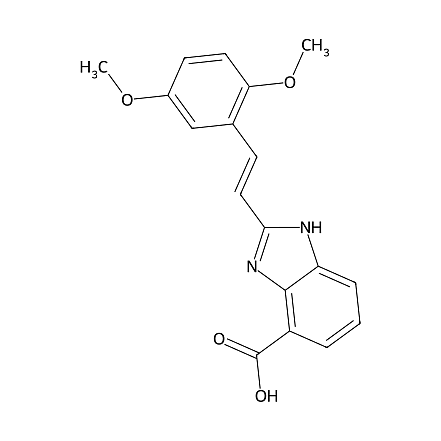 COc1ccc(OC)c(/C=C/c2nc3c(C(=O)O)cccc3[nH]2)c1